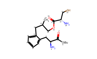 CC(C)COC(=O)[C@@H](N)Cc1ccccc1CC(C)COC(=O)[C@@H](N)CS